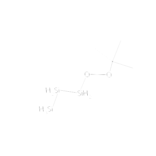 CC(C)(C)OO[SiH2][SiH2][SiH3]